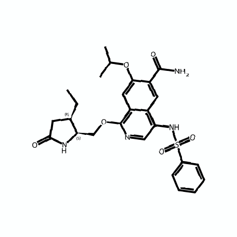 CC[C@@H]1CC(=O)N[C@@H]1COc1ncc(NS(=O)(=O)c2ccccc2)c2cc(C(N)=O)c(OC(C)C)cc12